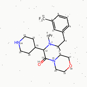 CCCN(C(C)Cc1cccc(C(F)(F)F)c1)C(C(=O)N1CCOCC1)C1CCNCC1